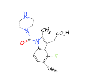 COc1ccc2c(c1F)c(CC(=O)O)c(C)n2C(=O)N1CCNCC1